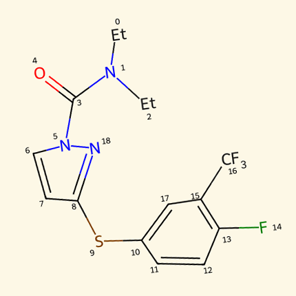 CCN(CC)C(=O)n1ccc(Sc2ccc(F)c(C(F)(F)F)c2)n1